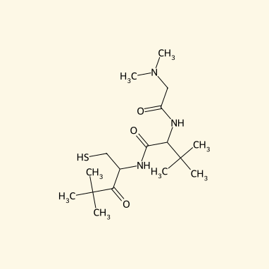 CN(C)CC(=O)NC(C(=O)NC(CS)C(=O)C(C)(C)C)C(C)(C)C